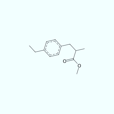 CCc1ccc(CC(C)C(=O)OC)cc1